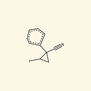 N#CC1(c2ccccc2)CC1I